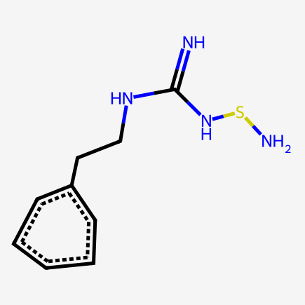 N=C(NCCc1ccccc1)NSN